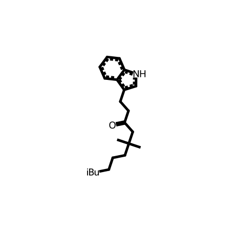 CCC(C)CCCC(C)(C)CC(=O)CCc1c[nH]c2ccccc12